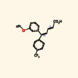 CCCOc1cccc(/C(=C\C=C\C(=O)O)c2ccc(C(F)(F)F)cc2)c1